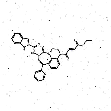 CCOC(=O)/C=C/C(=O)N1CCN2C(=O)C(NC(=O)c3cc4ccccc4[nH]3)N=C(c3ccccc3)c3cccc1c32